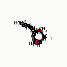 C=C1C[C@@H]2CC[C@]34CCC(O3)[C@@H]3O[C@H]5CC[C@H](CC(=O)O[C@@H]6CC7OC8C[C@@]9(C[C@@H]%10O[C@@]%11(CC[C@@H]%10O9)C[C@H](C)[C@@H]9O[C@H](CC(=O)O)CC[C@@H]9O%11)O[C@@H]8C[C@@H]7O[C@H]6C[C@H]6O[C@@H](CC[C@@H]1O2)C[C@@H](C)C6=C)O[C@@H]5[C@H](O4)[C@@H]3OC